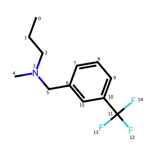 CCCN(C)Cc1cccc(C(F)(F)F)c1